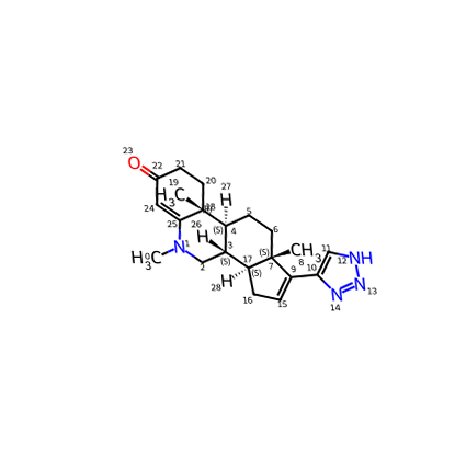 CN1C[C@@H]2[C@H](CC[C@]3(C)C(c4c[nH]nn4)=CC[C@@H]23)[C@@]2(C)CCC(=O)C=C12